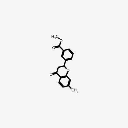 COC(=O)c1cccc(C2CC(=O)c3ccc(C)cc3O2)c1